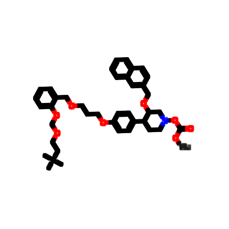 CC(C)(C)OC(=O)ON1CCC(c2ccc(OCCCOCc3ccccc3OCOCC[Si](C)(C)C)cc2)C(OCc2ccc3ccccc3c2)C1